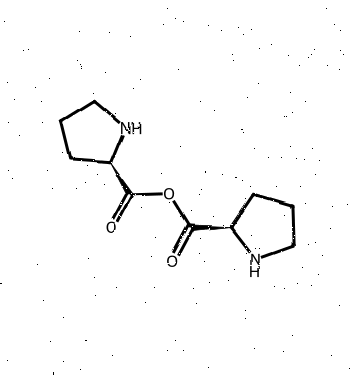 O=C(OC(=O)[C@H]1CCCN1)[C@H]1CCCN1